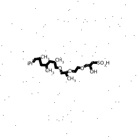 CC(C)CC(C)CC(C)CC(C)COCC(C)OCCOCC(O)CS(=O)(=O)O